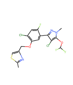 Cc1nc(COc2cc(-c3nn(C)c(OC(F)F)c3Cl)c(F)cc2Cl)cs1